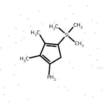 CC1=C(P)CC([Si](C)(C)C)=C1C